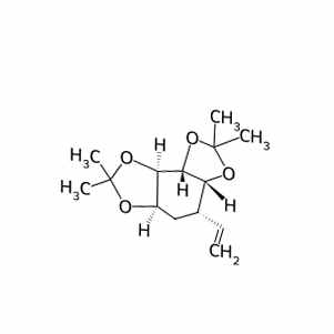 C=C[C@@H]1C[C@H]2OC(C)(C)O[C@H]2[C@@H]2OC(C)(C)O[C@@H]21